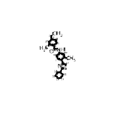 CCc1ccc(C(=O)Nc2ccc(-c3csc(-c4ccccc4)n3)c(C)c2)c(C)c1